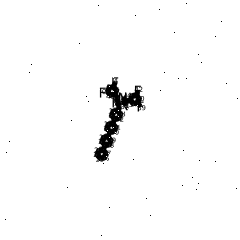 Fc1cc(F)cc(-c2nc(-c3ccc(-c4ccc(-c5ccc(-c6ccccc6)cc5)cc4)cc3)nc(-c3cc(F)cc(F)c3)n2)c1